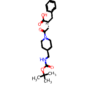 CC(C)(C)OC(=O)NCC1CCN(C(=O)C[C@@H](Cc2ccccc2)C(=O)O)CC1